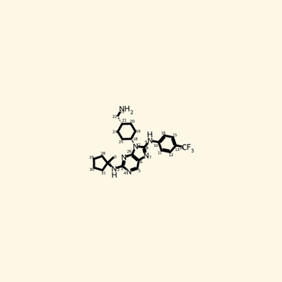 CC1(Nc2ncc3nc(Nc4ccc(C(F)(F)F)cc4)n([C@H]4CC[C@@H](CN)CC4)c3n2)CCCC1